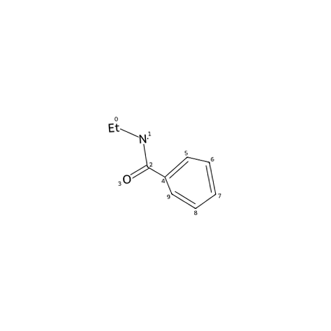 CC[N]C(=O)c1ccccc1